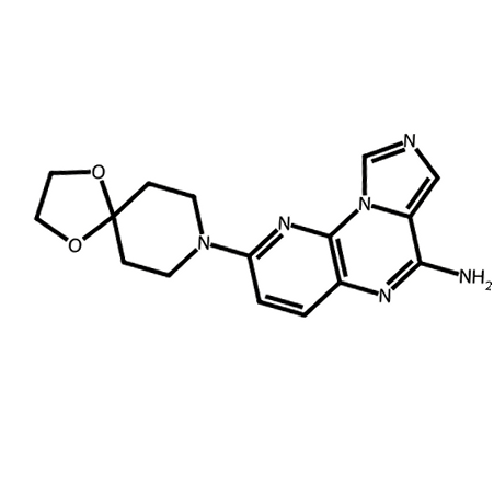 Nc1nc2ccc(N3CCC4(CC3)OCCO4)nc2n2cncc12